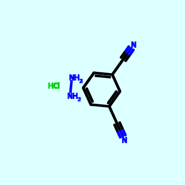 Cl.N#Cc1cccc(C#N)c1.NN